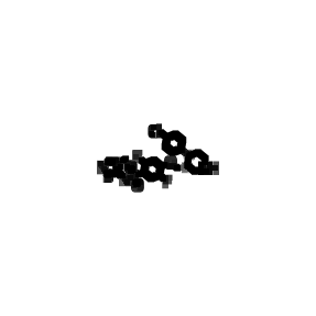 Cn1cnsc1=NS(=O)(=O)c1cc(F)c(OC[C@H]2CNCC[C@@H]2c2ccc(Cl)cc2)cc1F